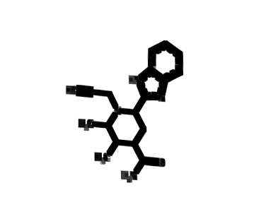 C#CCN1C(c2nc3ccccc3[nH]2)CC(C(N)=O)C(C)C1C